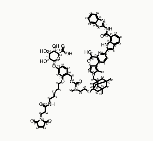 Cc1c(-c2ccc(-c3cc4cccc(C(=O)Nc5nc6ccccc6s5)c4[nH]3)nc2C(=O)O)cnn1CC12CC3(C)CC(C)(C1)CC(OCCN(C)C(=O)OCc1ccc(O[C@@H]4O[C@H](C(=O)O)[C@@H](O)[C@H](O)[C@H]4O)cc1OCCOCCNC(=O)CCN1C(=O)C=CC1=O)(C3)C2